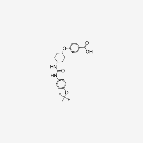 CC(F)(F)Oc1ccc(NC(=O)N[C@H]2CC[C@@H](Oc3ccc(C(=O)O)cc3)CC2)cc1